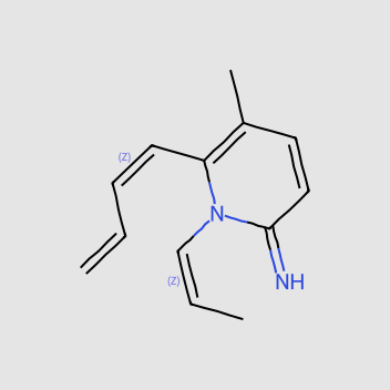 C=C/C=C\c1c(C)ccc(=N)n1/C=C\C